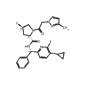 O=C(N[C@@H](c1ccccc1)c1ccc(C2CC2)c(F)n1)[C@@H]1C[C@@H](F)CN1C(=O)Cn1ccc(C(F)(F)F)n1